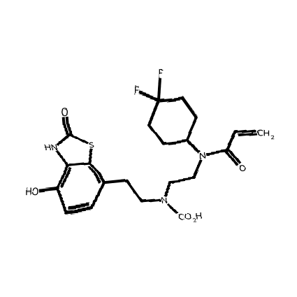 C=CC(=O)N(CCN(CCc1ccc(O)c2[nH]c(=O)sc12)C(=O)O)C1CCC(F)(F)CC1